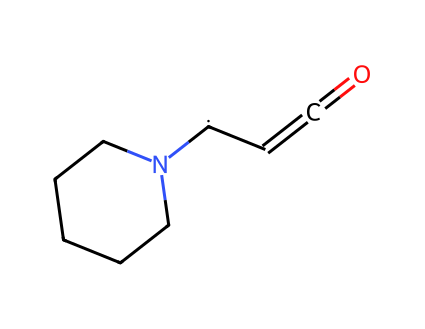 O=C=C[CH]N1CCCCC1